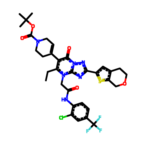 CCc1c(C2=CCN(C(=O)OC(C)(C)C)CC2)c(=O)n2nc(-c3cc4c(s3)COCC4)nc2n1CC(=O)Nc1ccc(C(F)(F)F)cc1Cl